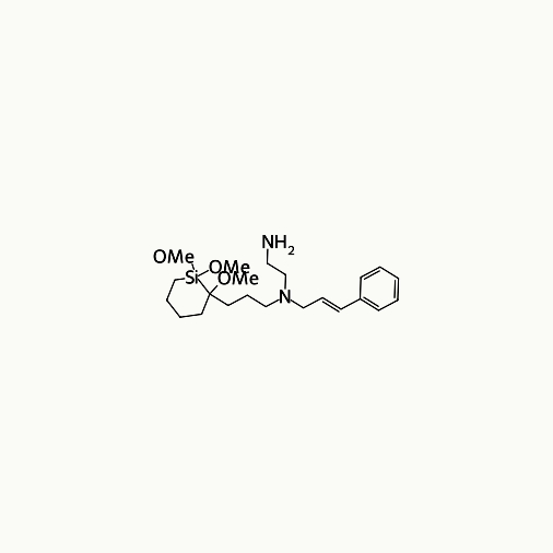 COC1(CCCN(CC=Cc2ccccc2)CCN)CCCC[Si]1(OC)OC